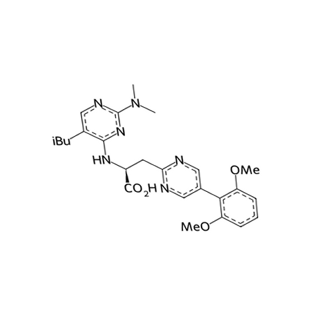 CCC(C)c1cnc(N(C)C)nc1N[C@@H](Cc1ncc(-c2c(OC)cccc2OC)cn1)C(=O)O